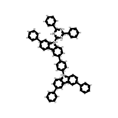 c1ccc(-c2ccc3c(c2)c2cc(-c4ccccc4)ccc2n3-c2ccc(-c3ccc4c(c3)c3ccc(-c5ccccc5)cc3n4-c3nc(-c4ccccc4)nc(-c4ccccc4)n3)cc2)cc1